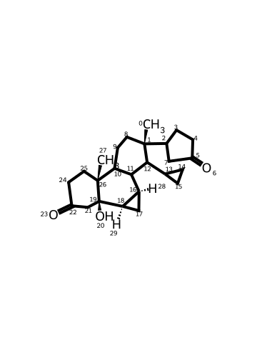 C[C@]1(C2CCC(=O)C2)CCC2C(C1C1CC1)[C@H]1C[C@H]1[C@]1(O)CC(=O)CC[C@]21C